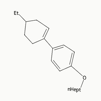 CCCCCCCOc1ccc(C2=CCC(CC)CC2)cc1